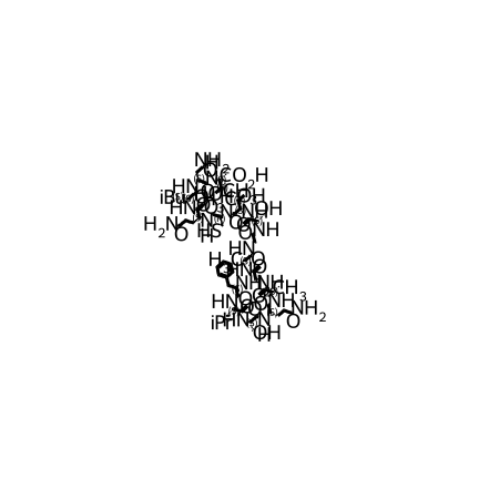 CC[C@H](C)[C@H](NC(=O)[C@H](CCC(N)=O)NC(=O)[C@H](CS)NC(=O)[C@@H](NC(=O)[C@H](CO)NC(=O)CNC(=O)[C@H](C)NC(=O)CNC(=O)[C@H](C)NC(=O)[C@H](CCC(N)=O)NC(=O)[C@H](CO)NC(=O)[C@H](CC(C)C)NC(=O)[C@@H](N)Cc1ccccc1)[C@@H](C)O)C(=O)N[C@@H](CC(N)=O)C(=O)N[C@H](C(=O)O)[C@@H](C)O